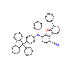 N#Cc1ccc(N(c2ccccc2)c2ccc(C3(c4ccccc4)c4ccccc4-c4ccccc43)cc2)c2oc3c(-c4ccccc4)cccc3c12